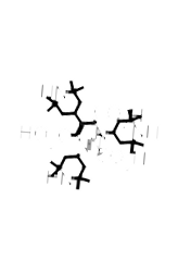 CC1(C)CC(C2=C(C(=O)O)N(C3CC(C)(C)NC(C)(C)C3)N(C(=O)O)N(C3CC(C)(C)NC(C)(C)C3)C2C(=O)O)CC(C)(C)N1